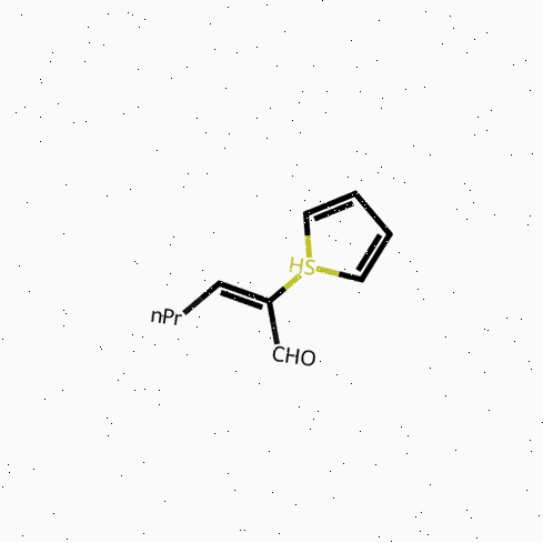 CCC/C=C(\C=O)[SH]1C=CC=C1